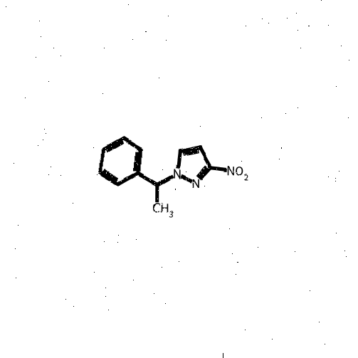 CC(c1ccccc1)n1ccc([N+](=O)[O-])n1